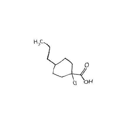 CCCC1CCC(Cl)(C(=O)O)CC1